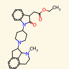 CCOC(=O)CC1C(=O)N(C2CCN(C3Cc4cccc5c4C3N(C)CC5)CC2)c2ccccc21